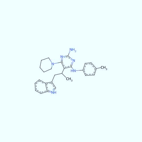 Cc1ccc(Nc2nc(N)nc(N3CCCCC3)c2C(C)Cc2c[nH]c3ccccc23)cc1